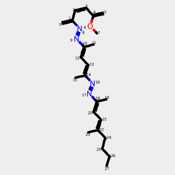 C=C(/C=C\C(=C)OC)N=N/C(C)=C/C=C(\C)N=N/C(C)=C/C=C(\C)CCCC